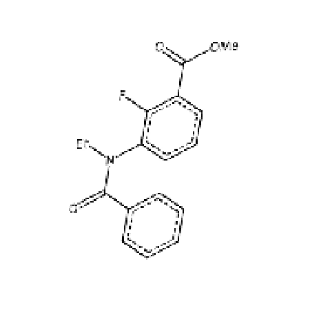 CCN(C(=O)c1ccccc1)c1cccc(C(=O)OC)c1F